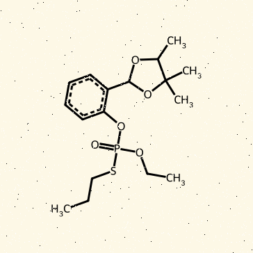 CCCSP(=O)(OCC)Oc1ccccc1C1OC(C)C(C)(C)O1